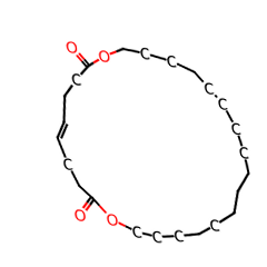 O=C1CCC=CCCC(=O)OCCCCCCCCCCCCCCCCO1